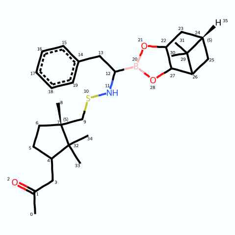 CC(=O)CC1CC[C@](C)(CSNC(Cc2ccccc2)B2OC3C[C@@H]4CC(C3O2)C4(C)C)C1(C)C